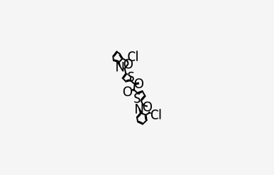 O=C(C(=O)c1ccc(C2=Nc3ccccc3C(Cl)O2)s1)c1ccc(C2=Nc3ccccc3C(Cl)O2)s1